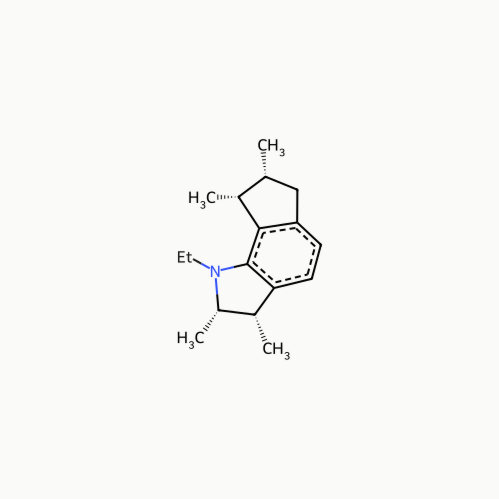 CCN1c2c(ccc3c2[C@H](C)[C@H](C)C3)[C@H](C)[C@@H]1C